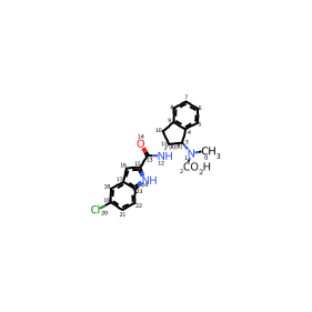 CN(C(=O)O)[C@@H]1c2ccccc2C[C@H]1NC(=O)c1cc2cc(Cl)ccc2[nH]1